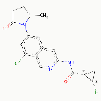 CC1CCC(=O)N1c1cc(Cl)c2cnc(NC(=O)[C@@H]3C[C@@H]3F)cc2c1